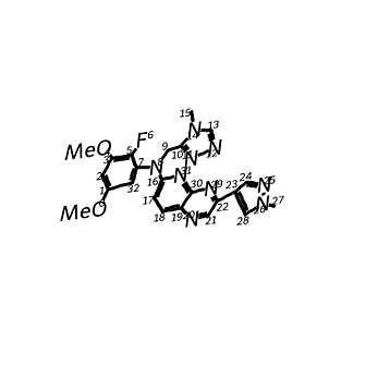 COc1cc(OC)c(F)c(N(Cc2nncn2C)c2ccc3ncc(-c4cnn(C)c4)nc3n2)c1